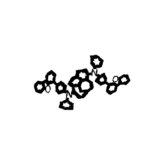 C1=Cc2c(N(c3ccccc3)c3ccc(-c4cccc5c4oc4ccccc45)cc3)ccc3ccc4c(c23)CC1=CC=C4N(c1ccccc1)c1ccc(-c2cccc3c2oc2ccccc23)cc1